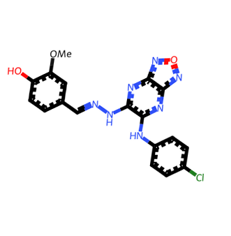 COc1cc(/C=N/Nc2nc3nonc3nc2Nc2ccc(Cl)cc2)ccc1O